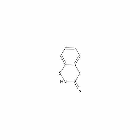 S=C1Cc2ccccc2SN1